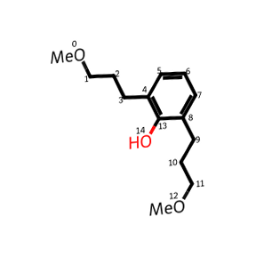 COCCCc1cccc(CCCOC)c1O